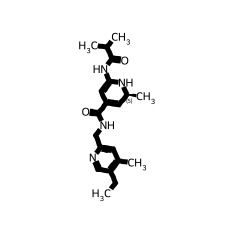 CCc1cnc(CNC(=O)C2=C[C@H](C)NC(NC(=O)C(C)C)=C2)cc1C